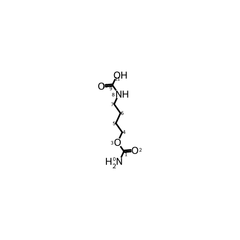 NC(=O)OCCCCNC(=O)O